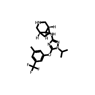 Cc1cc(Oc2nc(N[C@@H]3[C@@H]4CC[C@H]3CNC4)nn2C(C)C)cc(C(F)(F)F)c1